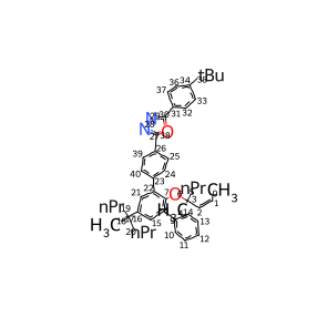 C/C=C\C(C)(CCC)Oc1c(-c2ccccc2)cc(C(C)(CCC)CCC)cc1-c1ccc(-c2nnc(-c3ccc(C(C)(C)C)cc3)o2)cc1